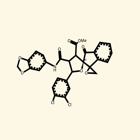 COC(=O)C1C(C(=O)Nc2ccc3c(c2)OCO3)C(c2ccc(Cl)c(Cl)c2)O[C@]12C(=O)c1ccccc1C21CO1